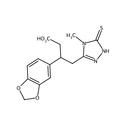 Cn1c(CC(CC(=O)O)c2ccc3c(c2)OCO3)n[nH]c1=S